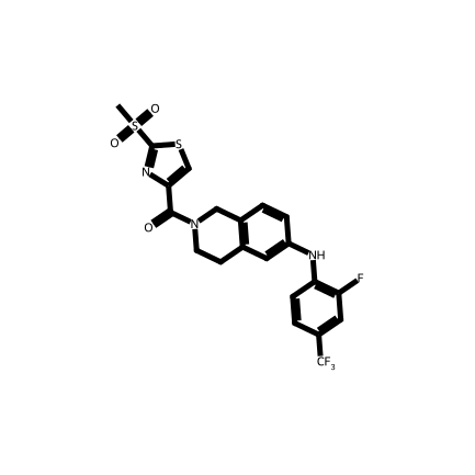 CS(=O)(=O)c1nc(C(=O)N2CCc3cc(Nc4ccc(C(F)(F)F)cc4F)ccc3C2)cs1